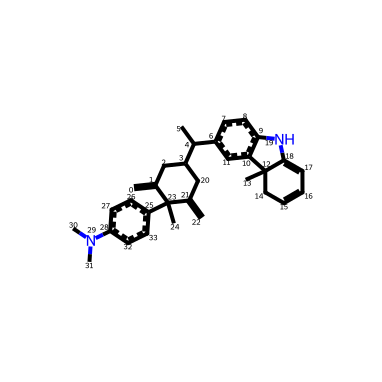 C=C1CC(C(C)c2ccc3c(c2)C2(C)CC=CC=C2N3)CC(=C)C1(C)c1ccc(N(C)C)cc1